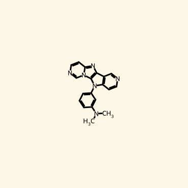 CN(C)c1cccc(-n2c3ccncc3c3nc4ccncn4c32)c1